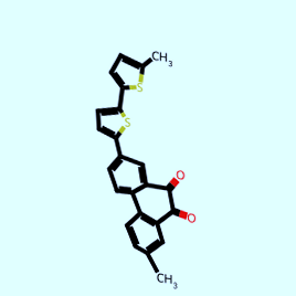 Cc1ccc2c(c1)C(=O)C(=O)c1cc(-c3ccc(-c4ccc(C)s4)s3)ccc1-2